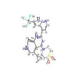 O=S1(=O)CCN(c2nc(-c3ccnc4[nH]c(C(F)(F)F)cc34)nc3cncc(C4CC4)c23)CC1